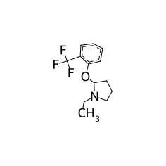 CCN1CCCC1Oc1ccccc1C(F)(F)F